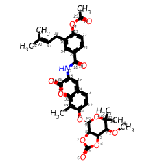 COC1C2OC(=O)OC2[C@H](Oc2ccc3cc(NC(=O)c4ccc(OC(C)=O)c(CC=C(C)C)c4)c(=O)oc3c2C)OC1(C)C